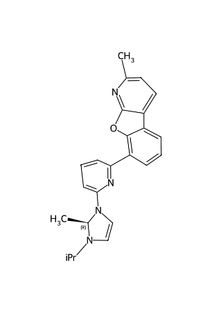 Cc1ccc2c(n1)oc1c(-c3cccc(N4C=CN(C(C)C)[C@H]4C)n3)cccc12